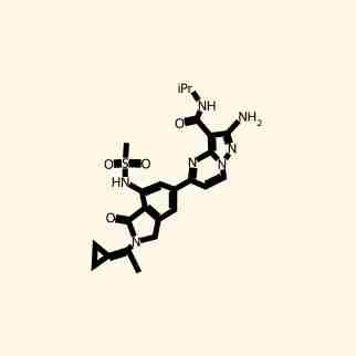 CC(=C1CC1)N1Cc2cc(-c3ccn4nc(N)c(C(=O)NC(C)C)c4n3)cc(NS(C)(=O)=O)c2C1=O